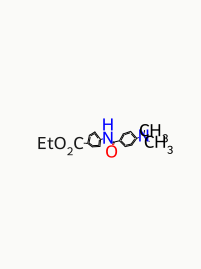 CCOC(=O)c1ccc(NC(=O)c2ccc(N(C)C)cc2)cc1